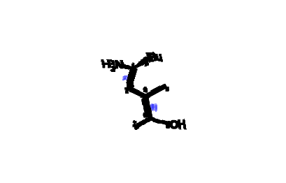 CCC(C)/C(N)=C\C(C)=C(/C)O